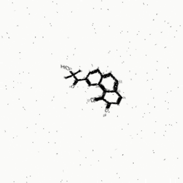 CC(C)(O)C(=O)c1ccc2ccc3c(c2c1)C(=O)C(=O)C=C3